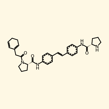 O=C(Nc1ccc(/C=C/c2ccc(NC(=O)[C@@H]3CCCN3C(=O)CC3=CCCC=C3)cc2)cc1)[C@@H]1CCCN1